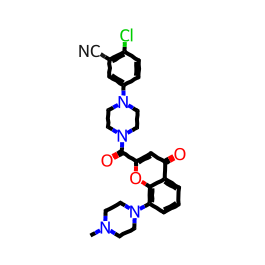 CN1CCN(c2cccc3c(=O)cc(C(=O)N4CCN(c5ccc(Cl)c(C#N)c5)CC4)oc23)CC1